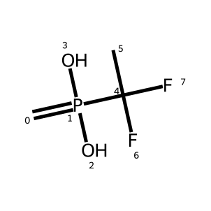 C=P(O)(O)C(C)(F)F